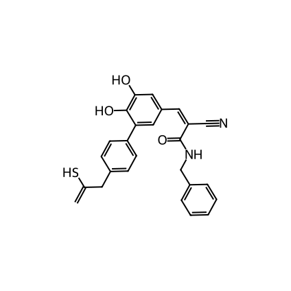 C=C(S)Cc1ccc(-c2cc(C=C(C#N)C(=O)NCc3ccccc3)cc(O)c2O)cc1